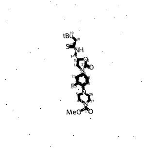 COC(=O)N1CCN(c2ccc(N3C[C@H](CNC(=S)CC(C)(C)C)OC3=O)cc2F)CC1